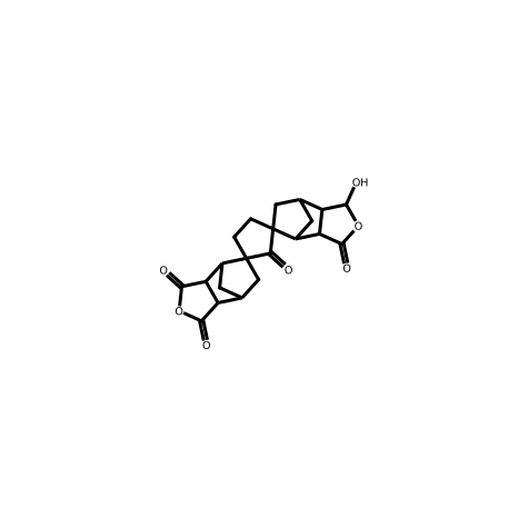 O=C1OC(=O)C2C1C1CC2C2(CCC3(CC4CC3C3C(=O)OC(O)C43)C2=O)C1